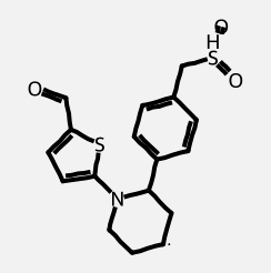 O=Cc1ccc(N2CC[CH]CC2c2ccc(C[SH](=O)=O)cc2)s1